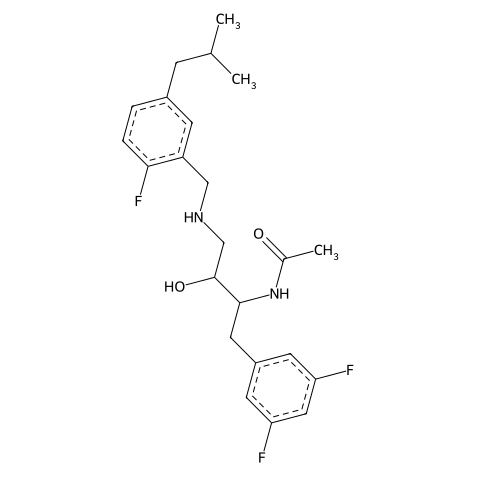 CC(=O)NC(Cc1cc(F)cc(F)c1)C(O)CNCc1cc(CC(C)C)ccc1F